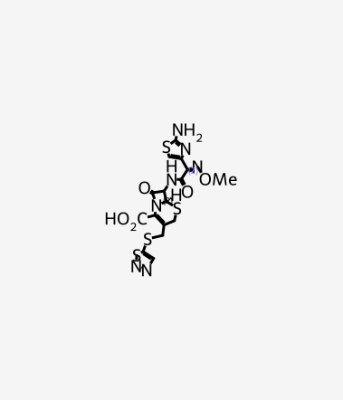 CO/N=C(\C(=O)NC1C(=O)N2C(C(=O)O)=C(CSc3cnns3)CS[C@H]12)c1csc(N)n1